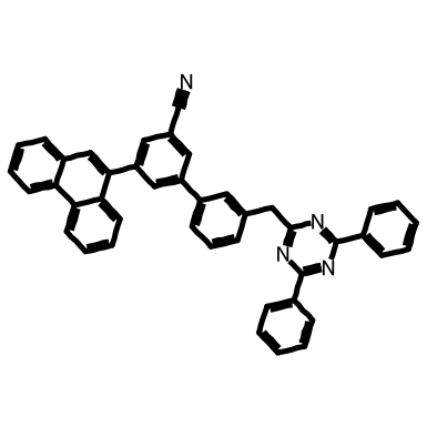 N#Cc1cc(-c2cccc(Cc3nc(-c4ccccc4)nc(-c4ccccc4)n3)c2)cc(-c2cc3ccccc3c3ccccc23)c1